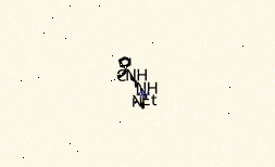 C=C=C(NCCCN/C(=C/CC)CN(C)C=C)c1ccccc1